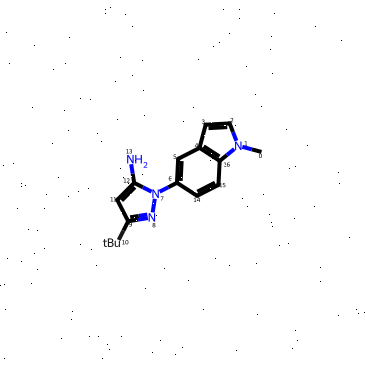 Cn1ccc2cc(-n3nc(C(C)(C)C)cc3N)ccc21